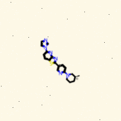 C[C@H]1CCCN(c2ccc(-c3nc4nc(-n5ccnc5)ccc4s3)cn2)C1